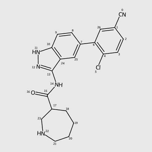 N#Cc1ccc(Cl)c(-c2ccc3[nH]nc(NC(=O)C4CCCCNC4)c3c2)c1